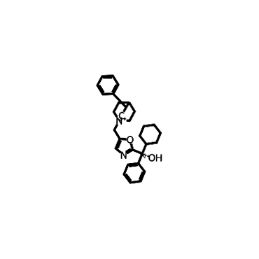 O[C@](c1ccccc1)(c1ncc(C[N+]23CCC(CC2)C(c2ccccc2)C3)o1)C1CCCCC1